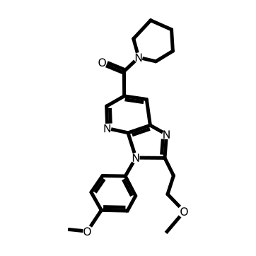 COCCc1nc2cc(C(=O)N3CCCCC3)cnc2n1-c1ccc(OC)cc1